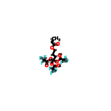 C=CC(=O)OCCC[Si](OC(=O)C(F)(F)F)(OC(=O)C(F)(F)F)OC(=O)C(F)(F)F